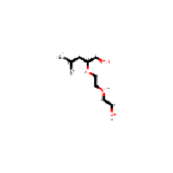 CCCCC(CC)CC(CO)OCCOCCO